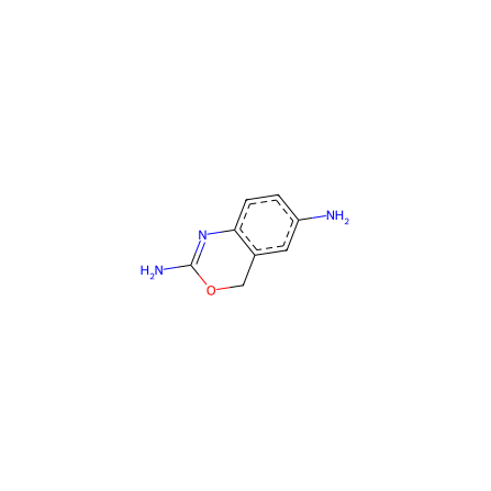 NC1=Nc2ccc(N)cc2CO1